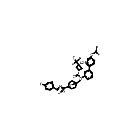 O=C([C@H]1C[C@](O)(C(F)(F)F)C1)N(CC12CCC(c3noc(-c4ccc(F)cc4)n3)(CC1)CC2)c1cccc(-c2ccc(OC(F)F)cc2)c1